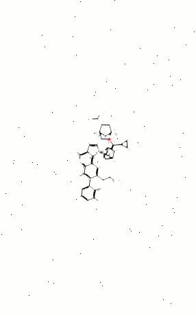 Cc1nc2c(F)c(-c3cccc(Cl)c3Cl)c(CCC#N)cc2c2c1cc([C@H]1[C@H]3C[C@H](C[C@@H]3C(F)F)N1C(=O)C1CC1)n2[C@H]1[C@H]2CN[C@@H]1C2